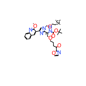 COc1nc2ccccc2cc1-c1cn(COCC[Si](C)(C)C)c([C@H](COCCCC(=O)c2ncco2)NC(=O)OC(C)(C)C)n1